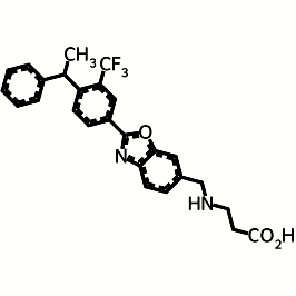 CC(c1ccccc1)c1ccc(-c2nc3ccc(CNCCC(=O)O)cc3o2)cc1C(F)(F)F